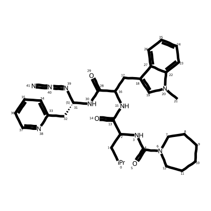 CC(C)CC(NC(=O)N1CCCCCC1)C(=O)NC(Cc1cn(C)c2ccccc12)C(=O)N[C@H](Cc1ccccn1)N=[N+]=[N-]